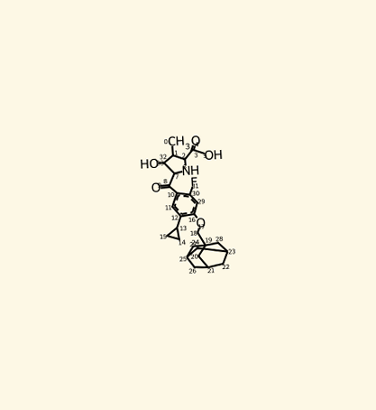 CC1C(C(=O)O)NC(C(=O)c2cc(C3CC3)c(OCC34CC5CC(CC(C5)C3)C4)cc2F)C1O